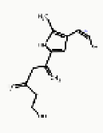 C=C(CCO)CC(=C)c1cc(/C=C\S)c(C)[nH]1